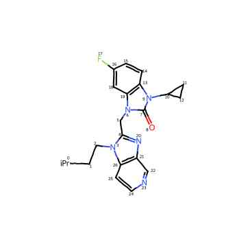 CC(C)CCn1c(Cn2c(=O)n(C3CC3)c3ccc(F)cc32)nc2cnccc21